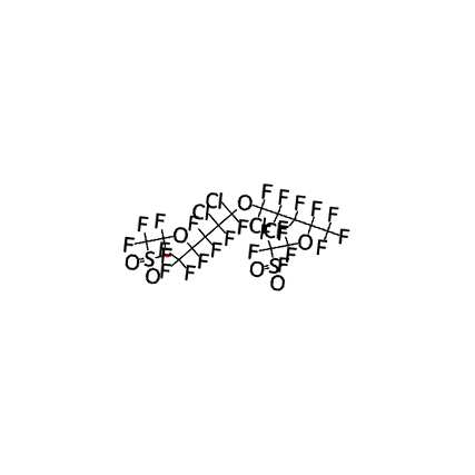 O=S(=O)(F)C(F)(F)C(F)(F)OC(F)(C(F)(F)F)C(F)(F)C(F)(Cl)C(F)(Cl)OC(F)(Cl)C(F)(Cl)C(F)(F)C(F)(OC(F)(F)C(F)(F)S(=O)(=O)F)C(F)(F)F